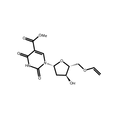 C=COC[C@H]1O[C@@H](n2cc(C(=O)OC)c(=O)[nH]c2=O)C[C@@H]1O